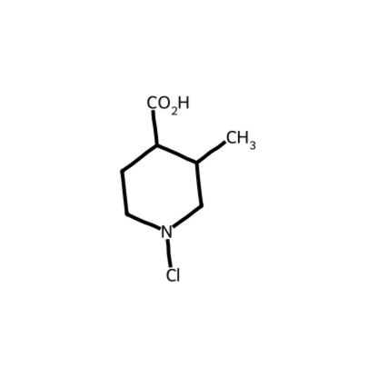 CC1CN(Cl)CCC1C(=O)O